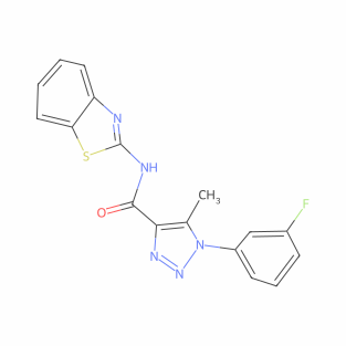 Cc1c(C(=O)Nc2nc3ccccc3s2)nnn1-c1cccc(F)c1